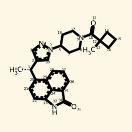 C[C@H](c1cnn(C2CCN(C(=O)C3(C)CCC3)CC2)c1)c1ccc2c3c(cccc13)C(=O)N2